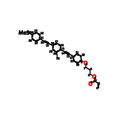 C=CC(=O)OCCCOc1ccc(C#Cc2ccc(C#Cc3ccc(SC)cc3)cc2C)cc1